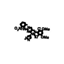 COc1cc(OC)c(Cl)c(N2Cc3cnc(Nc4c(C)cccc4[N+](=O)[O-])nc3N(c3cnn(C)c3)C2=S)c1Cl